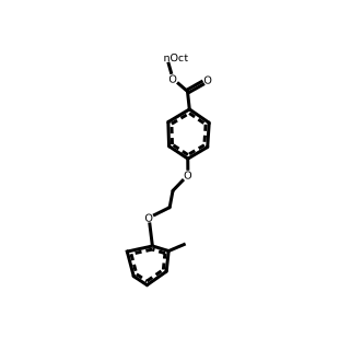 CCCCCCCCOC(=O)c1ccc(OCCOc2ccccc2C)cc1